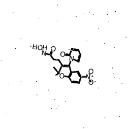 CC1(C)Oc2ccc([N+](=O)[O-])cc2C(n2ccccc2=O)=C1CCC(=O)NO